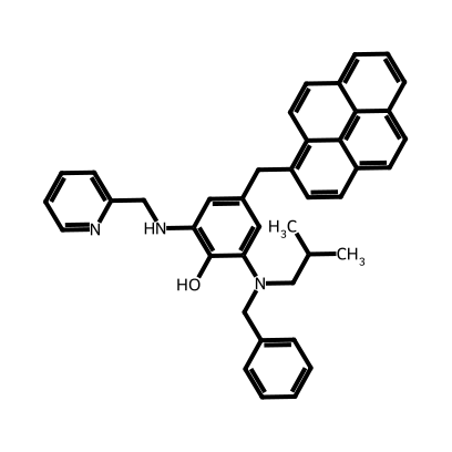 CC(C)CN(Cc1ccccc1)c1cc(Cc2ccc3ccc4cccc5ccc2c3c45)cc(NCc2ccccn2)c1O